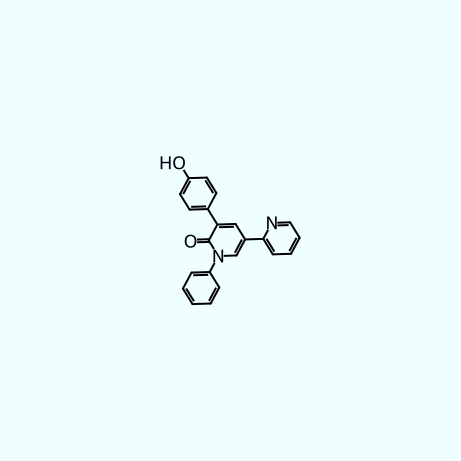 O=c1c(-c2ccc(O)cc2)cc(-c2ccccn2)cn1-c1ccccc1